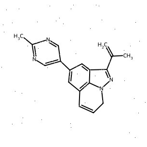 C=C(C)c1nn2c3c(cc(-c4cnc(C)nc4)cc13)C=CC2